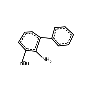 CCCCc1cccc(-c2ccccc2)c1N